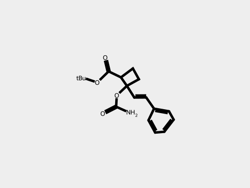 CC(C)(C)OC(=O)C1CCC1(C=Cc1ccccc1)OC(N)=O